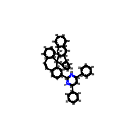 C1=Cc2ccc(-c3nc(-c4ccccc4)cc(-c4ccccc4)n3)cc2C2(c3ccccc31)c1ccccc1-c1cc3ccccc3cc12